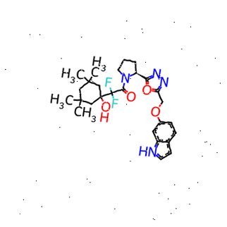 CC1(C)CC(C)(C)CC(O)(C(F)(F)C(=O)N2CCC[C@H]2c2nnc(COc3ccc4cc[nH]c4c3)o2)C1